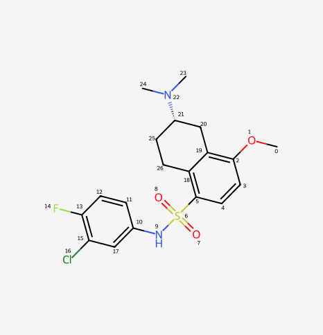 COc1ccc(S(=O)(=O)Nc2ccc(F)c(Cl)c2)c2c1C[C@@H](N(C)C)CC2